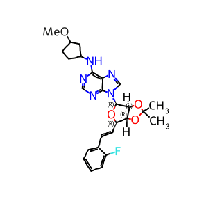 COC1CCC(Nc2ncnc3c2ncn3[C@@H]2O[C@H](C=Cc3ccccc3F)[C@H]3OC(C)(C)O[C@@H]32)C1